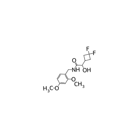 COc1ccc(CNC(=O)C(O)C2CC(F)(F)C2)c(OC)c1